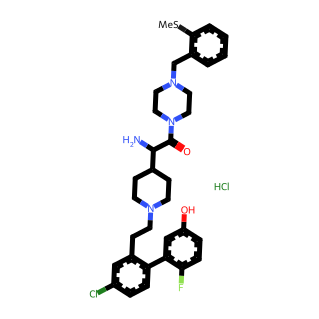 CSc1ccccc1CN1CCN(C(=O)C(N)C2CCN(CCc3cc(Cl)ccc3-c3cc(O)ccc3F)CC2)CC1.Cl